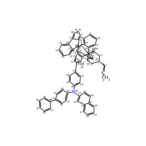 C=C=C[C@H]1C[C@@H]2CC(C)(C)C[C@H](C1)C21c2ccccc2C2(c3ccccc3-c3ccccc32)c2ccc(-c3ccc(N(c4ccc(-c5ccccc5)cc4)c4ccc5ccccc5c4)cc3)cc21